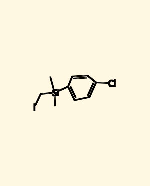 C[Si](C)(CI)c1ccc(Cl)cc1